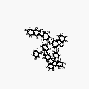 c1ccc(-n2c3ccc(N(c4ccc5oc6ccccc6c5c4)c4ccc5oc6cc7ccccc7cc6c5c4)cc3c3cc(C4(c5ccccc5)c5ccccc5-c5ccccc54)ccc32)cc1